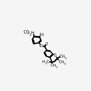 CCc1cc(OC(=O)c2ccc3c(c2)OC(C)(C)CC3(C)C)ccc1C(=O)O